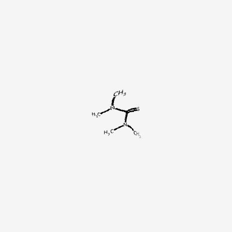 CN(C)C(=S)N(C)C